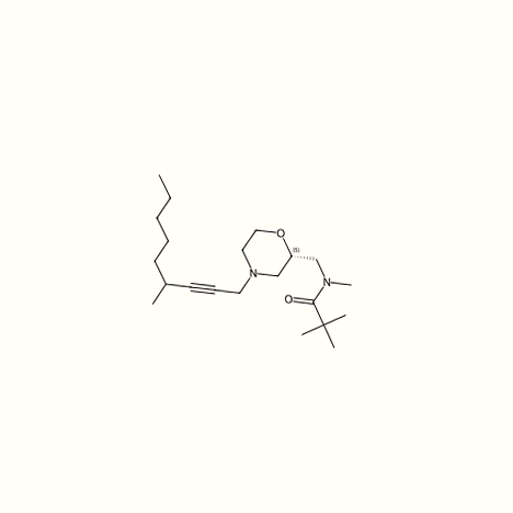 CCCCCC(C)C#CCN1CCO[C@H](CN(C)C(=O)C(C)(C)C)C1